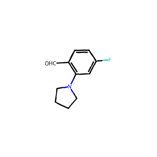 O=Cc1ccc(F)cc1N1CCCC1